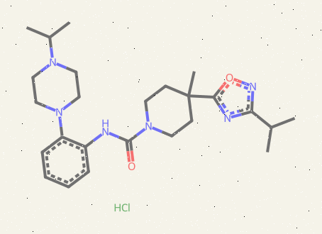 CC(C)c1noc(C2(C)CCN(C(=O)Nc3ccccc3N3CCN(C(C)C)CC3)CC2)n1.Cl